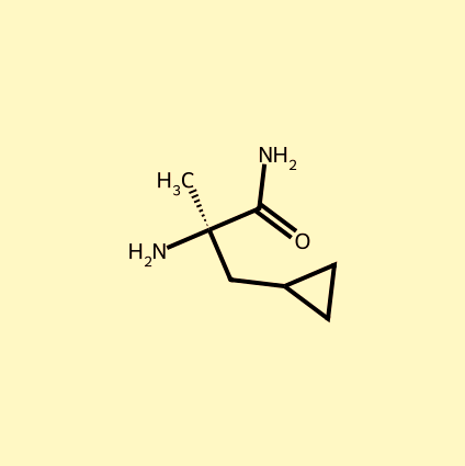 C[C@@](N)(CC1CC1)C(N)=O